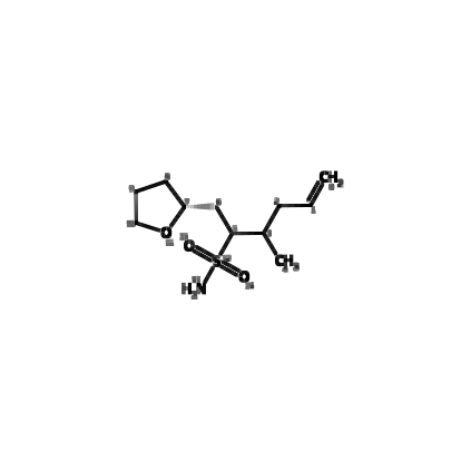 C=CCC(C)C(C[C@H]1CCCO1)S(N)(=O)=O